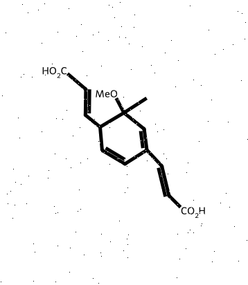 COC1(C)C=C(C=CC(=O)O)C=CC1C=CC(=O)O